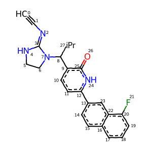 C#C/N=C1\NCCN1C(c1ccc(-c2ccc3cccc(F)c3c2)[nH]c1=O)C(C)C